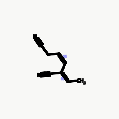 C/C=C(C#N)\C=C/CC#N